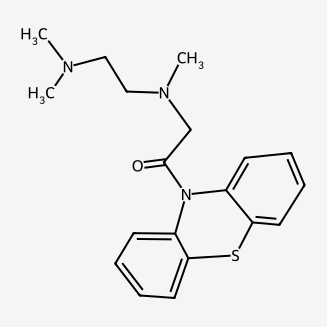 CN(C)CCN(C)CC(=O)N1c2ccccc2Sc2ccccc21